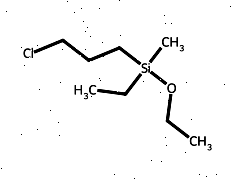 CCO[Si](C)(CC)CCCCl